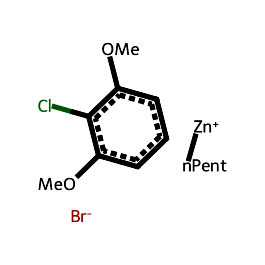 CCCC[CH2][Zn+].COc1cccc(OC)c1Cl.[Br-]